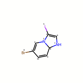 BrC1=CN2C(I)=CNC2C=C1